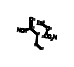 CCCC(=O)O.CCOC(=O)O